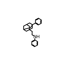 c1ccc(NCCC23CC4CC(C2)CC(c2ccccc2)(C4)C3)cc1